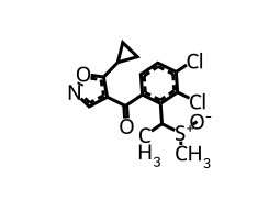 CC(c1c(C(=O)c2cnoc2C2CC2)ccc(Cl)c1Cl)[S+](C)[O-]